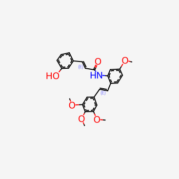 COc1ccc(/C=C/c2cc(OC)c(OC)c(OC)c2)c(NC(=O)/C=C/c2cccc(O)c2)c1